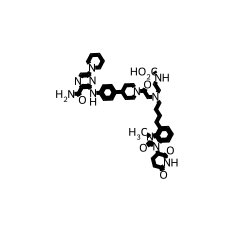 Cn1c(=O)n(C2CCC(=O)NC2=O)c2cccc(CCCCN(CCNC(=O)O)CC(=O)N3CCC(c4ccc(Nc5nc(N6CCCCC6)cnc5C(N)=O)cc4)CC3)c21